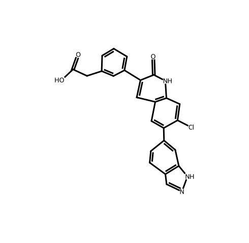 O=C(O)Cc1cccc(-c2cc3cc(-c4ccc5cn[nH]c5c4)c(Cl)cc3[nH]c2=O)c1